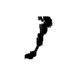 COC(=O)C[C@H](CCC(=O)NC(CCC(=O)NCCCCCCCCNc1cccc2c1C(=O)N(C1CCC(=O)NC1=O)C2=O)C(=O)OC)OC(=O)CC[C@H](NC(=O)CC[C@H](NC(=O)c1ccc(N(C)Cc2cnc3nc(N)nc(N)c3n2)cc1)C(=O)O)C(=O)OC